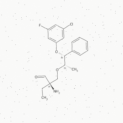 CC[C@](N)(C=O)CO[C@@H](C)[C@H](Oc1cc(F)cc(Cl)c1)c1ccccc1